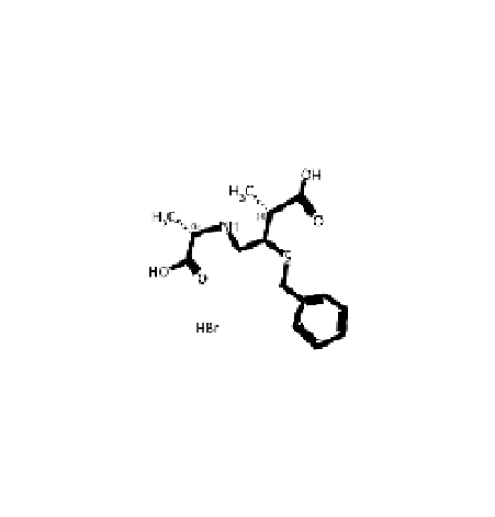 Br.C[C@H](NCC(SCc1ccccc1)[C@H](C)C(=O)O)C(=O)O